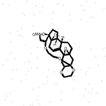 COCC1OCCOC23CC45CC[C@@H]6C(=CC[C@@]7(C)[C@@H]6CC[C@@]17O)[C@]4(CC2OCCO3)O5